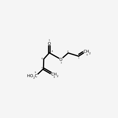 C=CCOC(=O)CC(=C)C(=O)O